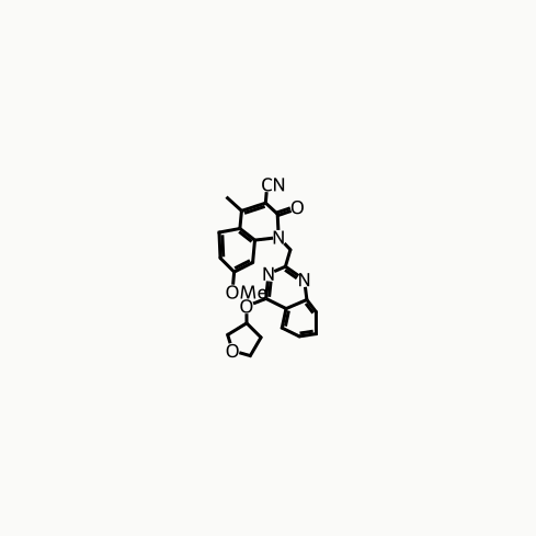 COc1ccc2c(C)c(C#N)c(=O)n(Cc3nc(OC4CCOC4)c4ccccc4n3)c2c1